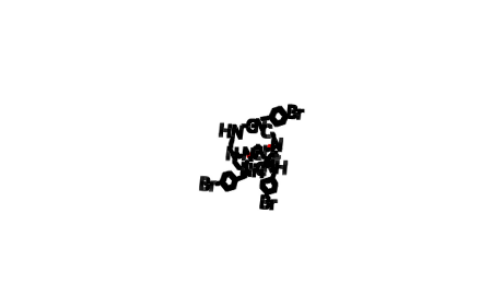 Brc1ccc(CN2CCNCCN3CCNCCNCCN(CC2)CCN(Cc2ccc(Br)cc2)CCN(Cc2ccc(Br)cc2)CC3)cc1